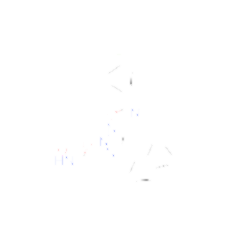 CN(Cc1cn([C@@H](CC(=O)NO)Cc2ccc3ccccc3c2)nn1)C(=O)c1ccc(F)cc1